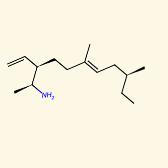 C=C[C@@H](CC/C(C)=C/C[C@@H](C)CC)[C@H](C)N